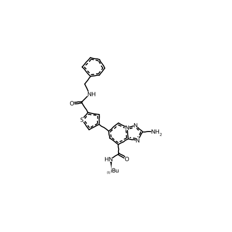 CC[C@H](C)NC(=O)c1cc(-c2csc(C(=O)NCc3ccccc3)c2)cn2nc(N)nc12